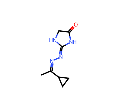 CC(=NN=C1NCC(=O)N1)C1CC1